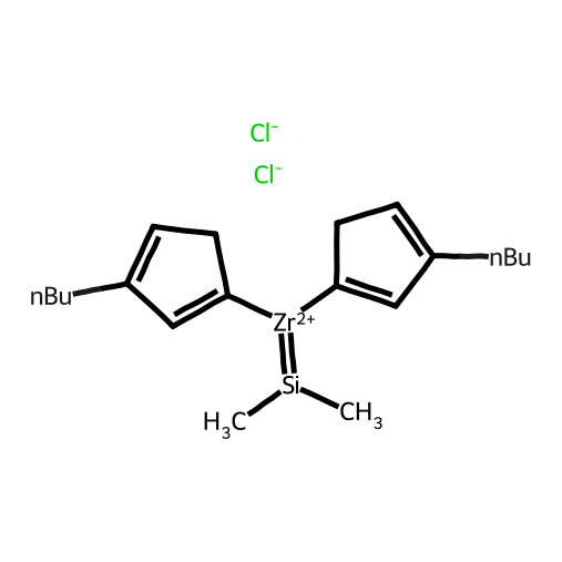 CCCCC1=CC[C]([Zr+2]([C]2=CC(CCCC)=CC2)=[Si](C)C)=C1.[Cl-].[Cl-]